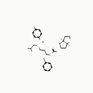 COc1ccc([S+]([O-])N(CC(C)C)C[C@@H](O)[C@H](Cc2ccccc2)NC(=O)O[C@@H]2C[C@@H]3CCO[C@@H]3C2)cc1